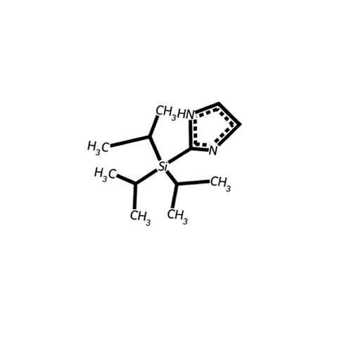 CC(C)[Si](c1ncc[nH]1)(C(C)C)C(C)C